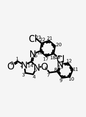 O=CN1CCN(OCc2ccccn2)/C1=N\c1cc(Cl)ccc1Cl